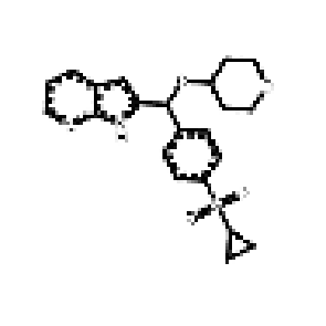 O=S(=O)(c1ccc(C(OC2CCOCC2)c2cc3cccnc3[nH]2)cc1)C1CC1